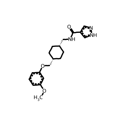 COc1cccc(OC[C@H]2CC[C@@H](CNC(=O)c3cn[nH]c3)CC2)c1